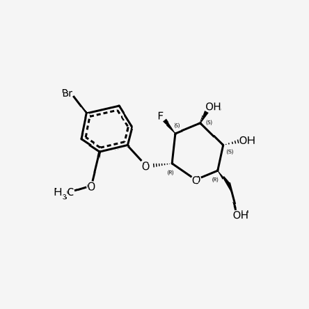 COc1cc(Br)ccc1O[C@H]1O[C@H](CO)[C@@H](O)[C@H](O)[C@@H]1F